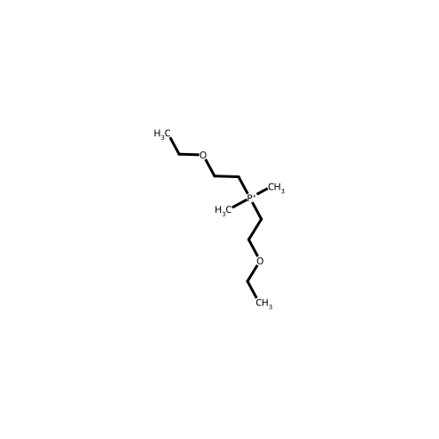 CCOCC[P+](C)(C)CCOCC